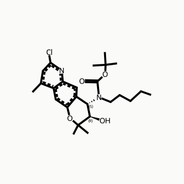 CCCCCN(C(=O)OC(C)(C)C)[C@H]1c2cc3nc(Cl)cc(C)c3cc2OC(C)(C)[C@@H]1O